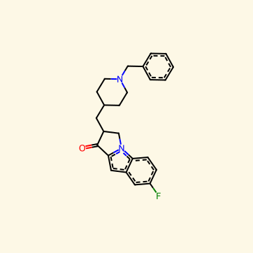 O=C1c2cc3cc(F)ccc3n2CC1CC1CCN(Cc2ccccc2)CC1